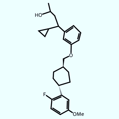 COc1ccc(F)c([C@H]2CC[C@H](COc3cccc(C(CC(C)O)C4CC4)c3)CC2)c1